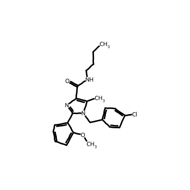 CCCCNC(=O)c1nc(-c2ccccc2OC)n(Cc2ccc(Cl)cc2)c1C